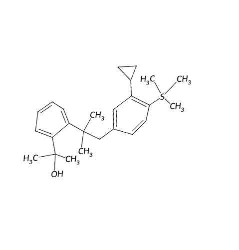 CC(C)(O)c1ccccc1C(C)(C)Cc1ccc(S(C)(C)C)c(C2CC2)c1